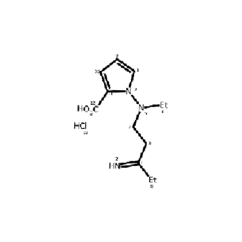 CCC(=N)CCN(CC)n1cccc1C(=O)O.Cl